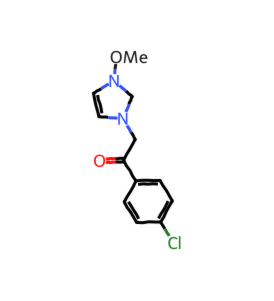 CON1C=CN(CC(=O)c2ccc(Cl)cc2)C1